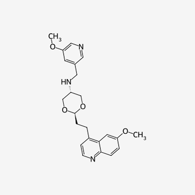 COc1cncc(CN[C@H]2CO[C@H](CCc3ccnc4ccc(OC)cc34)OC2)c1